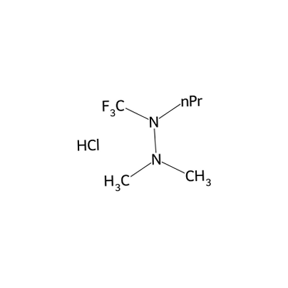 CCCN(N(C)C)C(F)(F)F.Cl